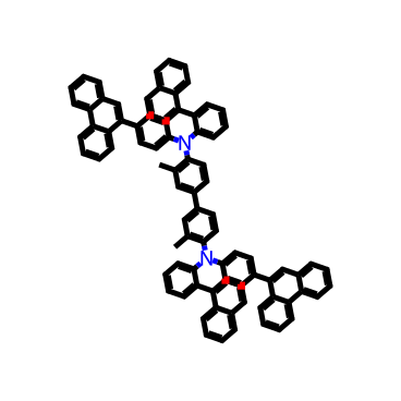 Cc1cc(-c2ccc(N(c3ccc(-c4cc5ccccc5c5ccccc45)cc3)c3ccccc3-c3cccc4ccccc34)c(C)c2)ccc1N(c1ccc(-c2cc3ccccc3c3ccccc23)cc1)c1ccccc1-c1cccc2ccccc12